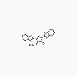 NC=C1C(=O)N(c2nc3ccccc3s2)N=C1c1cc2ccccc2s1